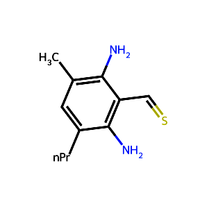 CCCc1cc(C)c(N)c(C=S)c1N